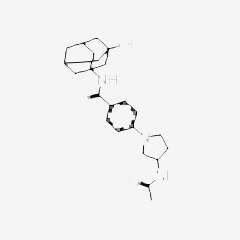 CC(=O)NC1CCN(c2ccc(C(=O)NC34CC5CC(CC(O)(C5)C3)C4)cc2)C1